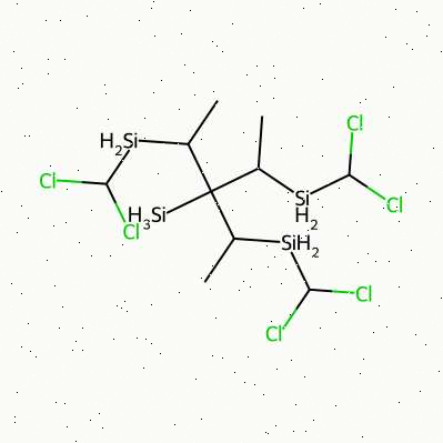 CC([SiH2]C(Cl)Cl)C([SiH3])(C(C)[SiH2]C(Cl)Cl)C(C)[SiH2]C(Cl)Cl